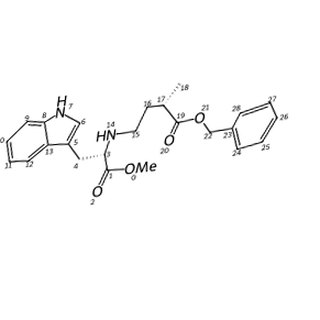 COC(=O)[C@H](Cc1c[nH]c2ccccc12)NCC[C@H](C)C(=O)OCc1ccccc1